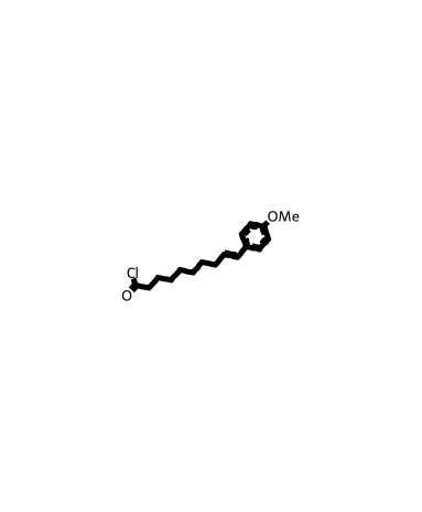 COc1ccc(/C=C/CCCCCCCC(=O)Cl)cc1